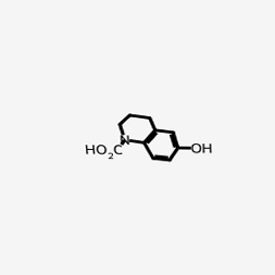 O=C(O)N1CCCc2cc(O)ccc21